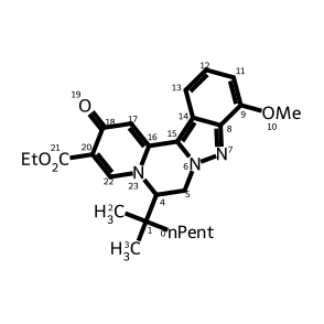 CCCCCC(C)(C)C1Cn2nc3c(OC)cccc3c2-c2cc(=O)c(C(=O)OCC)cn21